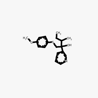 CCC(C)C(O)(CSc1ccc(OC)cc1)c1cccnc1